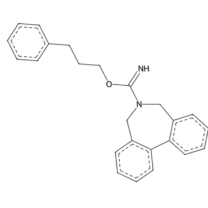 N=C(OCCCc1ccccc1)N1Cc2ccccc2-c2ccccc2C1